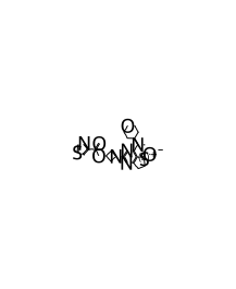 CN(c1nc(N2CC(OC(=O)c3cscn3)C2)nc2c1[S@+]([O-])CC2)C1CCOCC1